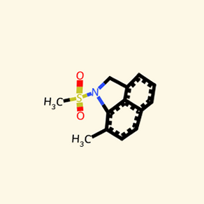 Cc1ccc2cccc3c2c1N(S(C)(=O)=O)C3